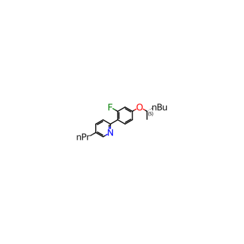 CCCC[C@H](C)Oc1ccc(-c2ccc(CCC)cn2)c(F)c1